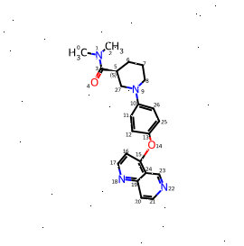 CN(C)C(=O)[C@H]1CCCN(c2ccc(Oc3ccnc4ccncc34)cc2)C1